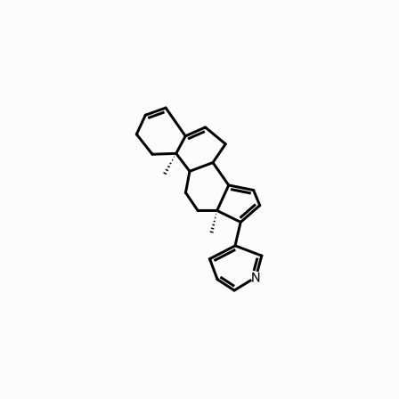 C[C@]12CCC3C(CC=C4C=CCC[C@@]43C)C1=CC=C2c1cccnc1